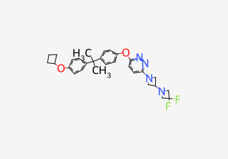 CC(C)(c1ccc(Oc2ccc(N3CC(N4CC(F)(F)C4)C3)nn2)cc1)c1ccc(OC2CCC2)cc1